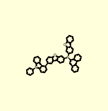 c1ccc(-n2c3ccccc3c3c(-c4ccc5oc6cc(N(c7ccc8c(c7)oc7ccccc78)c7cc8ccccc8c8ccccc78)ccc6c5c4)cccc32)cc1